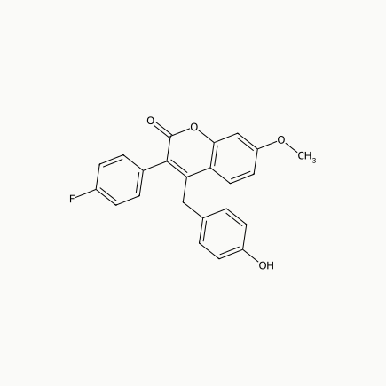 COc1ccc2c(Cc3ccc(O)cc3)c(-c3ccc(F)cc3)c(=O)oc2c1